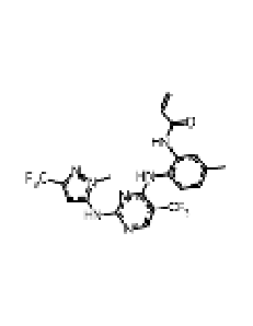 C=CC(=O)Nc1cc(C)ccc1Nc1nc(Nc2cc(C(F)(F)F)nn2C)ncc1C(F)(F)F